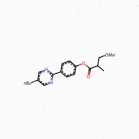 CCCCc1cnc(-c2ccc(OC(=O)C(C)COC)cc2)nc1